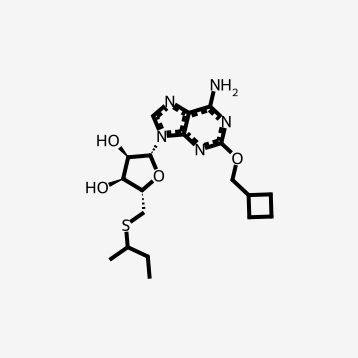 CCC(C)SC[C@H]1O[C@@H](n2cnc3c(N)nc(OCC4CCC4)nc32)[C@H](O)[C@@H]1O